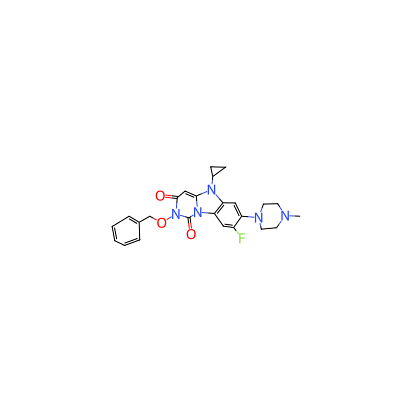 CN1CCN(c2cc3c(cc2F)n2c(=O)n(OCc4ccccc4)c(=O)cc2n3C2CC2)CC1